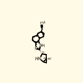 C#Cc1ccc2c(ccc3nc([C@@H]4C[C@H]5CC5N4)[nH]c32)c1